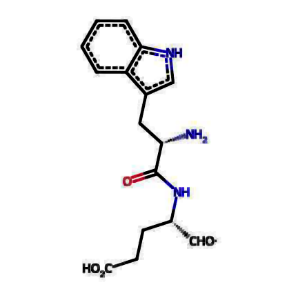 N[C@@H](Cc1c[nH]c2ccccc12)C(=O)N[C@H]([C]=O)CCC(=O)O